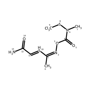 CC(=NOC(=O)N(C)SC(Cl)(Cl)Cl)[SH]=CC(N)=O